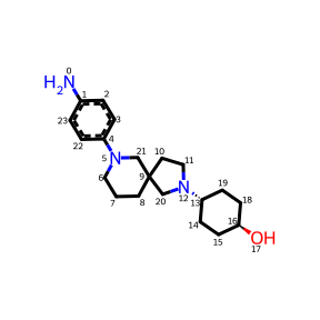 Nc1ccc(N2CCCC3(CCN([C@H]4CC[C@H](O)CC4)C3)C2)cc1